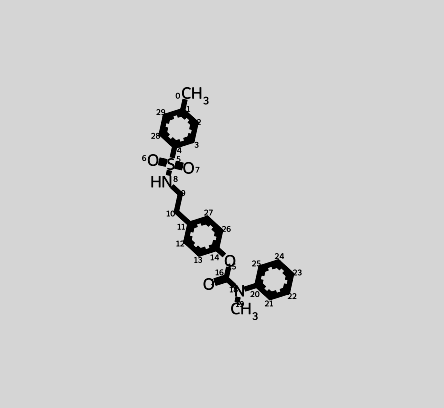 Cc1ccc(S(=O)(=O)NCCc2ccc(OC(=O)N(C)c3ccccc3)cc2)cc1